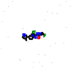 Cc1ccncc1-c1ccc2nc(NC(=O)[C@@H]3C[C@@H]3F)c(Cl)n2c1